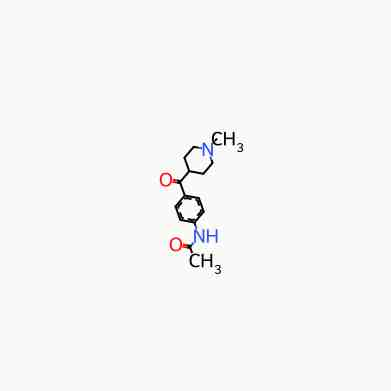 CC(=O)Nc1ccc(C(=O)C2CCN(C)CC2)cc1